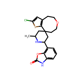 CC1CC2(CCOCCc3cc(Cl)sc32)CC(c2cccc3[nH]c(=O)oc23)N1